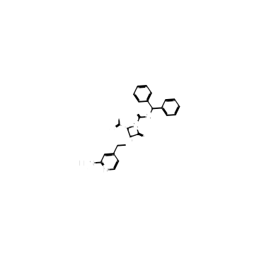 Nc1cc(CC[C@H]2C(=O)N(C(=O)NC(c3ccccc3)c3ccccc3)[C@@H]2C(=O)O)ccn1